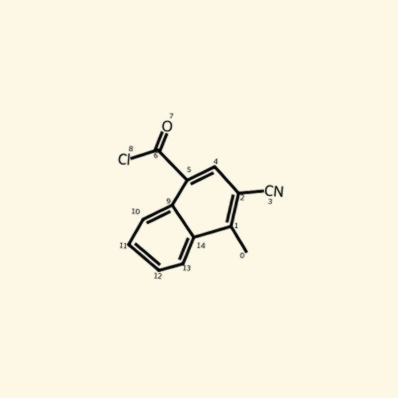 Cc1c(C#N)cc(C(=O)Cl)c2ccccc12